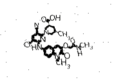 CNC(=O)COc1cc2cc(Nc3nc(N4C[C@@H](C)C[C@@H](C(=O)O)C4)c(C#N)cc3Cl)ccc2n(C)c1=O